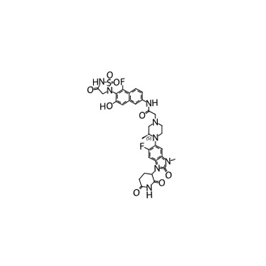 C[C@H]1CN(CC(=O)Nc2ccc3c(F)c(N4CC(=O)NS4(=O)=O)c(O)cc3c2)CCN1c1cc2c(cc1F)n(C1CCC(=O)NC1=O)c(=O)n2C